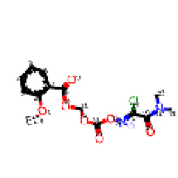 CCOc1ccccc1C(=O)OCOC(=O)O/N=C(\Cl)C(=O)N(C)C